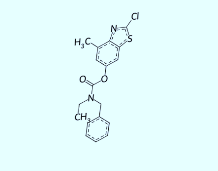 CCN(Cc1ccccc1)C(=O)Oc1cc(C)c2nc(Cl)sc2c1